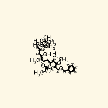 CCC(=O)OC(CC[C@H](C)[C@@H](O)CC(CC)O[Si](C)(C)C(C)(C)C)C(C)[C@H](OC)[C@H](C)COCc1ccccc1